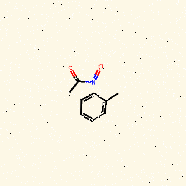 CC(=O)N=O.Cc1ccccc1